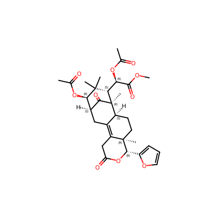 COC(=O)[C@H](OC(C)=O)[C@H]1C(C)(C)[C@H](OC(C)=O)[C@@H]2CC3=C4CC(=O)O[C@@H](c5ccco5)[C@]4(C)CC[C@@H]3[C@@]1(C)C2=O